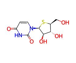 O=c1ccn([C@H]2S[C@@H](CO)[C@H](O)[C@H]2O)c(=O)[nH]1